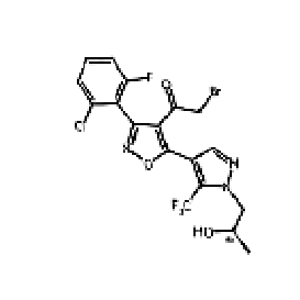 C[C@@H](O)Cn1ncc(-c2onc(-c3c(F)cccc3Cl)c2C(=O)CBr)c1C(F)(F)F